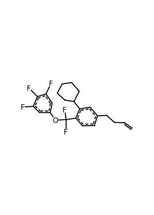 C=CCCc1ccc(C(F)(F)Oc2cc(F)c(F)c(F)c2)c(C2CCCCC2)c1